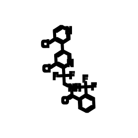 O=C(NCC(F)(F)c1ncc(-c2cnccc2Cl)cc1Cl)c1ccccc1C(F)(F)F